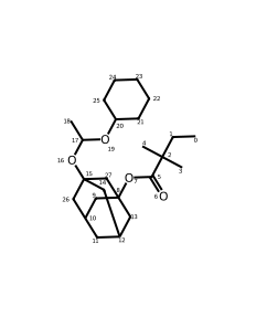 CCC(C)(C)C(=O)OC12CC3CC(C1)CC(OC(C)OC1CCCCC1)(C3)C2